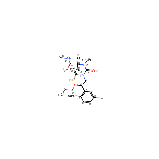 C=C(S)N(C[C@H](OCCC#N)c1cc(F)ccc1OC)C(=O)N(C(C)C)C(C)(C)C(O)NC(C)C